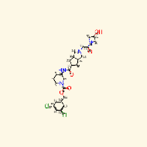 O=C(N[C@@H]1CCCN(C(=O)OCc2cc(Cl)cc(Cl)c2)C1)C1CC2CN(CC(=O)N3CC(O)C3)CC2C1